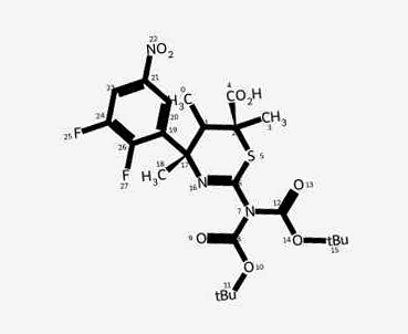 CC1[C@@](C)(C(=O)O)SC(N(C(=O)OC(C)(C)C)C(=O)OC(C)(C)C)=N[C@]1(C)c1cc([N+](=O)[O-])cc(F)c1F